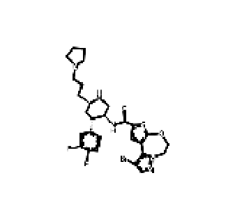 O=C(N[C@@H]1CN[C@H](CCCN2CCCC2)C[C@H]1c1ccc(F)c(F)c1)c1cc2c(s1)OCCn1ncc(Br)c1-2